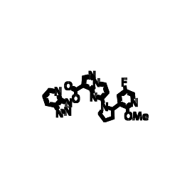 COc1ncc(F)cc1C1CCCN1c1ccn2ncc(C(=O)On3nnc4cccnc43)c2n1